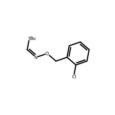 CC(C)(C)/[C]=N\OCc1ccccc1Cl